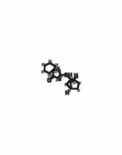 O=C1N=C(N[C@@H]2C[C@@H]3CC[C@@H]2C3)SC12CCCCC2